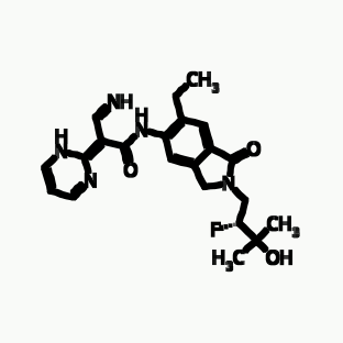 CCc1cc2c(cc1NC(=O)/C(C=N)=C1\N=CC=CN1)CN(C[C@@H](F)C(C)(C)O)C2=O